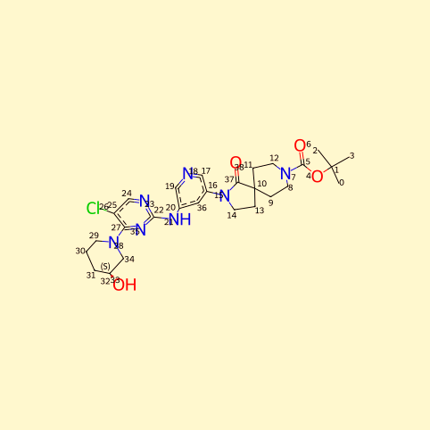 CC(C)(C)OC(=O)N1CCC2(CC1)CCN(c1cncc(Nc3ncc(Cl)c(N4CCC[C@H](O)C4)n3)c1)C2=O